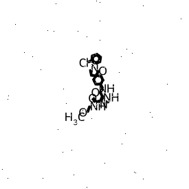 COCCNC(=O)c1nc[nH]c1C(=O)NC1CCC2(CC1)CCN(c1ccccc1Cl)C2=O